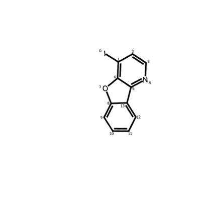 Ic1ccnc2c1oc1ccccc12